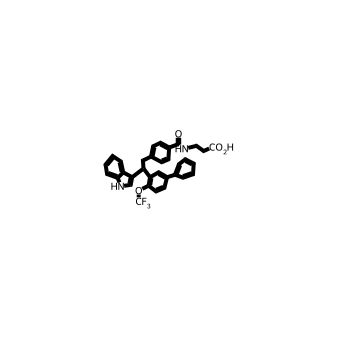 O=C(O)CCNC(=O)c1ccc(CC(c2cc(-c3ccccc3)ccc2OC(F)(F)F)c2c[nH]c3ccccc23)cc1